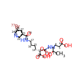 CC(=O)[C@H](CCC(=O)O)NC(=O)O[C@@H](CCCCNC(=O)c1cncc([77Br])c1)C(=O)O